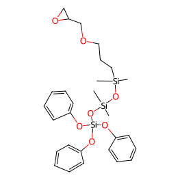 C[Si](C)(CCCOCC1CO1)O[Si](C)(C)O[Si](Oc1ccccc1)(Oc1ccccc1)Oc1ccccc1